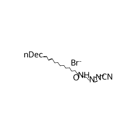 CCCCCCCCCCC=CC=CCCCCCCCCC(=O)NCCCn1cc[n+](CC#N)c1.[Br-]